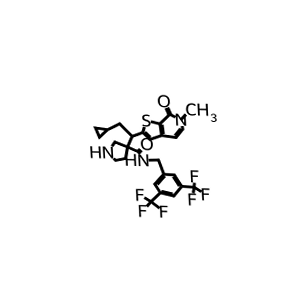 Cn1ccc2cc(C(CC3CC3)C3(C(=O)NCc4cc(C(F)(F)F)cc(C(F)(F)F)c4)CCNC3)sc2c1=O